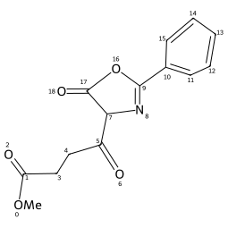 COC(=O)CCC(=O)C1N=C(c2ccccc2)OC1=O